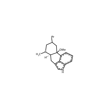 COC12CC(C(C)C)CN(C)[C@@H]1Cc1c[nH]c3cccc2c13